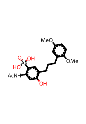 COc1ccc(OC)c(CC[CH]c2cc([As](=O)(O)O)c(NC(C)=O)cc2O)c1